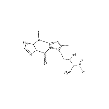 Cc1nc2n(c1CC(O)C(N)C(=O)O)C(=O)C1N=CNC1N2C